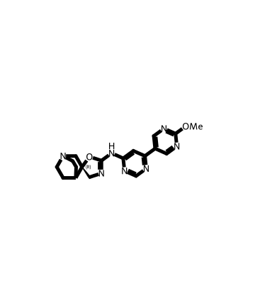 COc1ncc(-c2cc(NC3=NC[C@@]4(CN5CCC4CC5)O3)ncn2)cn1